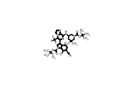 CC1(C)CC(Nc2nc(-c3cn(C(=O)OC(C)(C)C)c4c(Cl)c(C#N)ccc34)c(C(F)(F)F)n3ccnc23)CN(C(=O)OC(C)(C)C)C1